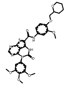 COc1cc(NC(=O)c2sc3ncnc4c3c2NC(=O)N4c2cc(OC)c(OC)c(OC)c2)ccc1OCC1CCCCO1